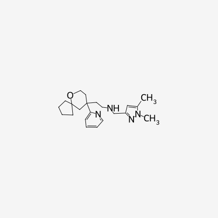 Cc1cc(CNCCC2(c3ccccn3)CCOC3(CCCC3)C2)nn1C